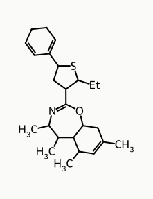 CCC1SC(C2=CCCC=C2)CC1C1=NC(C)C(C)C2C(C)C=C(C)CC2O1